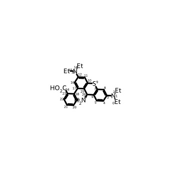 CCN(CC)c1ccc2c(c1)Sc1cc(N(CC)CC)cc(-c3ccccc3C(=O)O)c1C2N